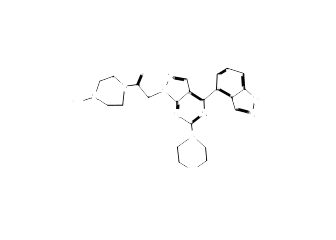 CC(=O)N1CCN(C(=O)Cn2ncc3c(-c4cccc5[nH]ncc45)nc(N4CCOCC4)nc32)CC1